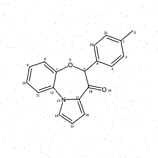 Cc1ccc(C2Oc3ccccc3-n3cccc3C2=O)cc1